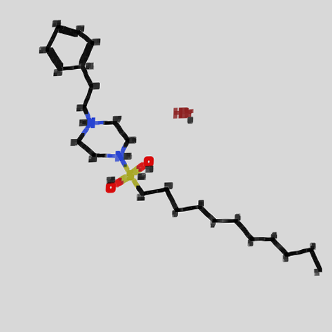 Br.CCCCCCCCCCCS(=O)(=O)N1CCN(CCc2ccccc2)CC1